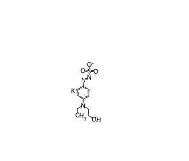 CCN(CCO)c1ccc(N=NS(=O)(=O)[O-])cc1.[K+]